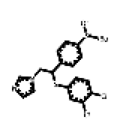 CC(C)(C)[S+]([O-])c1ccc(C(Cn2ccnc2)Sc2ccc(Cl)c(Cl)c2)cc1